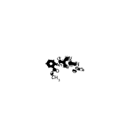 COC(=O)c1ccccc1NC(=O)c1cnc(C[SH](=O)=O)nc1